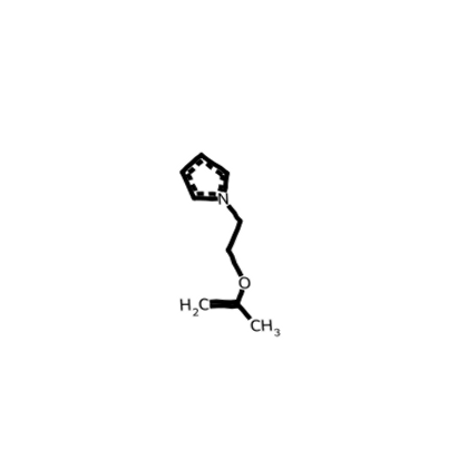 C=C(C)OCCn1cccc1